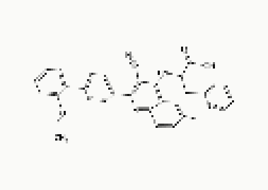 CCOc1ccccc1-c1ccc(-c2nc3ccc(F)cc3c(NC(Cc3ccccn3)C(=O)O)c2C#N)cc1